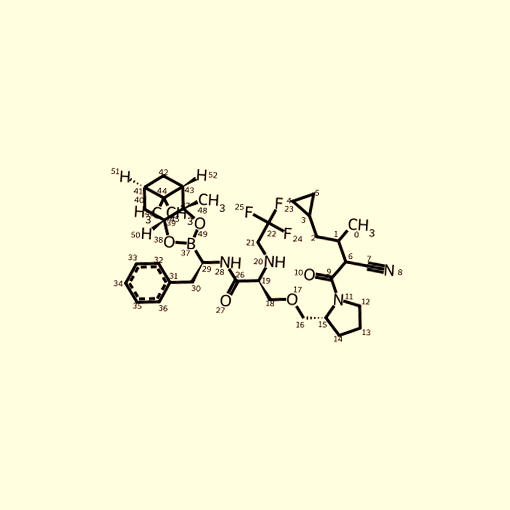 CC(CC1CC1)C(C#N)C(=O)N1CCC[C@@H]1COC[C@H](NCC(F)(F)F)C(=O)N[C@@H](Cc1ccccc1)B1O[C@@H]2C[C@H]3C[C@@H](C3(C)C)[C@]2(C)O1